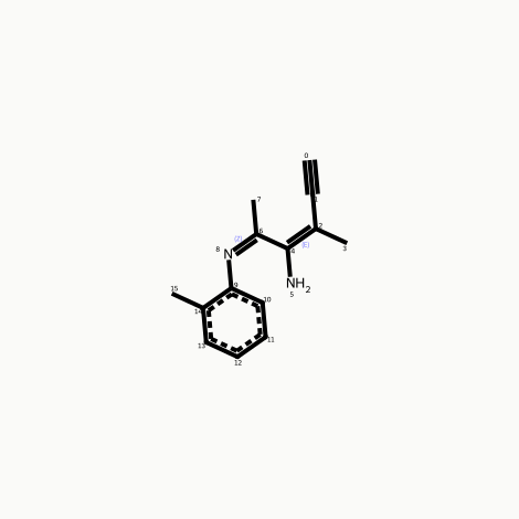 C#C/C(C)=C(N)\C(C)=N/c1ccccc1C